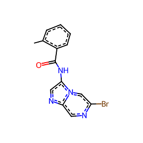 Cc1ccccc1C(=O)Nc1cnc2cnc(Br)cn12